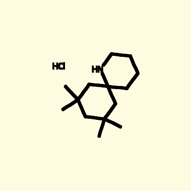 CC1(C)CC(C)(C)CC2(CCCCN2)C1.Cl